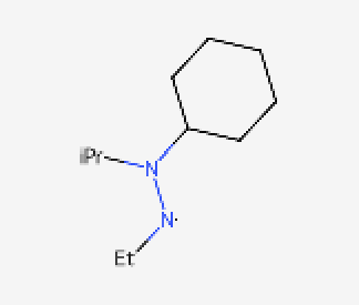 CC[N]N(C(C)C)C1CCCCC1